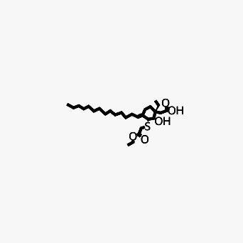 CCCCCCCCCCCCCC=C1CC[C@](CC)(CC(=O)O)[C@@H](O)[C@@H]1SCC(=O)OCC